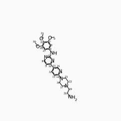 COc1cc(Nc2nccc(-c3ccc(N4CCN(CCN)CC4)nc3)n2)cc(OC)c1OC